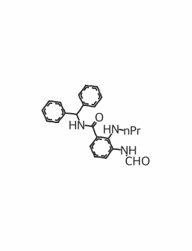 CCCNc1c(NC=O)cccc1C(=O)NC(c1ccccc1)c1ccccc1